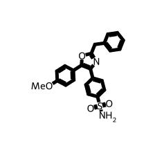 COc1ccc(-c2oc(Cc3ccccc3)nc2-c2ccc(S(N)(=O)=O)cc2)cc1